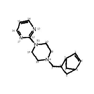 C1=CC2CC1CC2CN1CCN(c2ncccn2)CC1